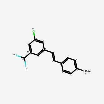 COc1ccc(C=Cc2cc(Cl)cc(C(F)F)c2)cc1